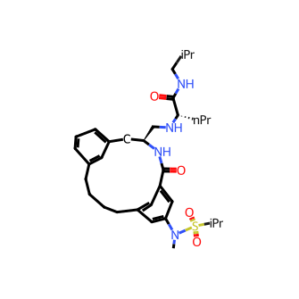 CCC[C@H](NC[C@@H]1Cc2cccc(c2)CCCCc2cc(cc(N(C)S(=O)(=O)C(C)C)c2)C(=O)N1)C(=O)NCC(C)C